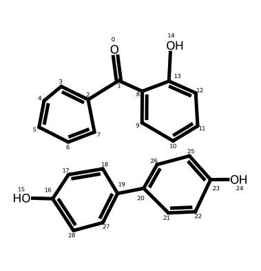 O=C(c1ccccc1)c1ccccc1O.Oc1ccc(-c2ccc(O)cc2)cc1